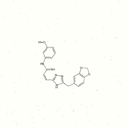 COc1cccc(NC(=N)/C=C\c2nnc(Cc3ccc4c(c3)OCO4)[nH]2)c1